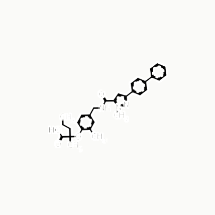 CCCC(C)(Oc1ccc(CNC(=O)c2cc(-c3ccc(-c4ccccc4)cc3)nn2C)cc1C)C(=O)O